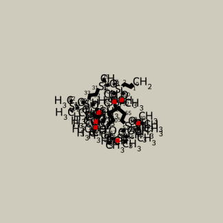 C=CC[Si](O[Si](C)(C)CCC[Si](O[Si](C)(C)C)(O[Si](C)(C)C)O[Si](C)(C)C)(O[Si](C)(C)CCC[Si](O[Si](C)(C)C)(O[Si](C)(C)C)O[Si](C)(C)C)O[Si](C)(C)CCC[Si](O[Si](C)(C)C)(O[Si](C)(C)C)O[Si](C)(C)C